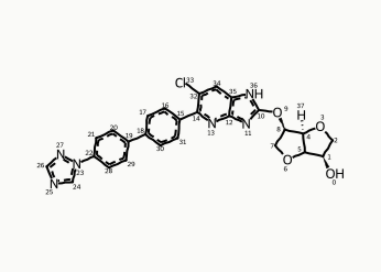 O[C@@H]1CO[C@H]2C1OC[C@H]2Oc1nc2nc(-c3ccc(-c4ccc(-n5cncn5)cc4)cc3)c(Cl)cc2[nH]1